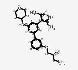 Cc1noc(C)c1-c1cc(NC2CCOCC2)nc(-c2cccc(OC[C@H](O)CN)c2)n1